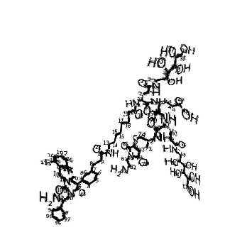 Cc1c(-c2cccc(CCC(=O)NCCCCCCCC(=O)N[C@H](CCC(=O)NC[C@H](O)[C@@H](O)[C@H](O)[C@H](O)CO)C(=O)N[C@H](CCC(=O)O)C(=O)N[C@H](CCC(=O)NC[C@H](O)[C@@H](O)[C@H](O)[C@H](O)CO)C(=O)N[C@@H](C)CSC3=CC(=O)N(CCN)C3=O)c2)c(=O)n(C[C@@H](N)c2ccccc2)c(=O)n1Cc1c(F)cccc1F